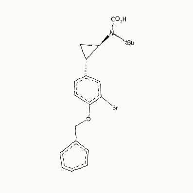 CC(C)(C)N(C(=O)O)[C@@H]1C[C@H]1c1ccc(OCc2ccccc2)c(Br)c1